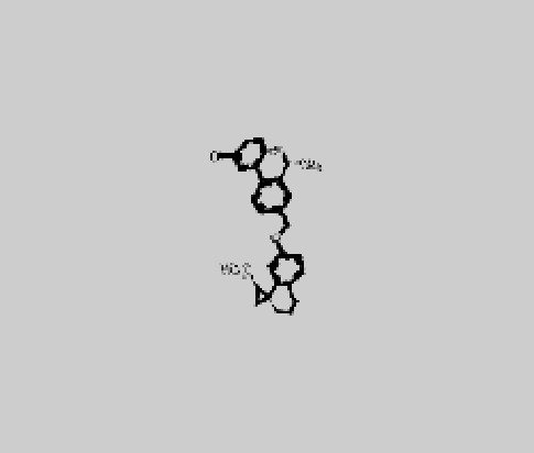 CO[C@H](c1cc(COc2ccc3c(c2)[C@]2(CCC3)C[C@H]2C(=O)O)ccc1-c1cccc(Cl)c1)C(C)(C)C